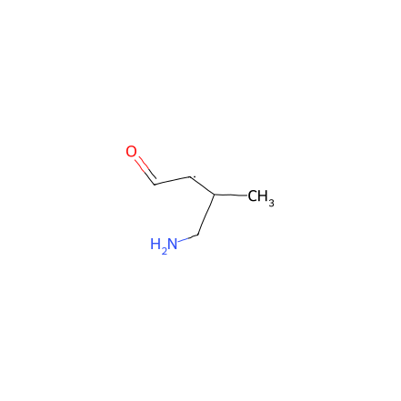 CC([CH]C=O)CN